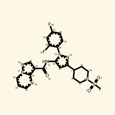 CS(=O)(=O)N1CCC(c2cc(NC(=O)c3cnn4cccnc34)n(-c3ccc(F)cc3F)n2)CC1